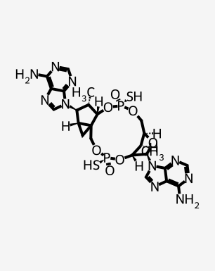 C[C@H]1[C@H]2O[P@@](=O)(S)OCC34C[C@@H]3[C@@H](n3cnc5c(N)ncnc53)[C@H](C)[C@@H]4O[P@@](=O)(S)OC[C@H]1O[C@H]2n1cnc2c(N)ncnc21